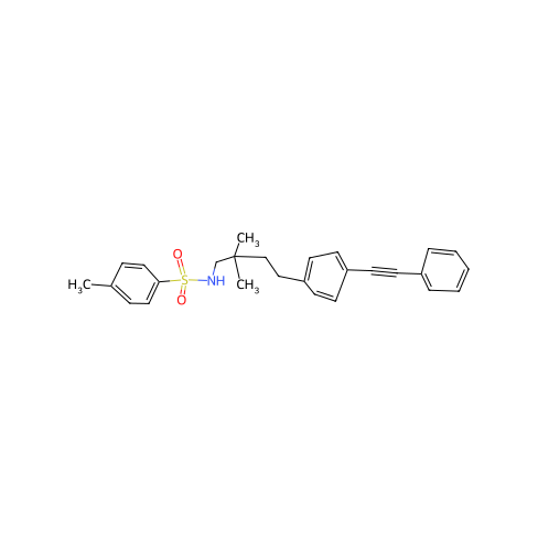 Cc1ccc(S(=O)(=O)NCC(C)(C)CCc2ccc(C#Cc3ccccc3)cc2)cc1